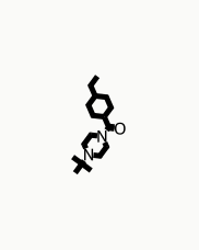 CCC1CCC(C(=O)N2CCN(C(C)(C)C)CC2)CC1